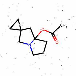 CC(=O)OC12CCCN1CC1(CC1)C2